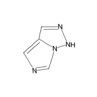 c1ncn2[nH]ncc12